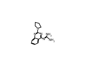 NC(N)=Nc1nc(N2CCCC2)nc2ccccc12